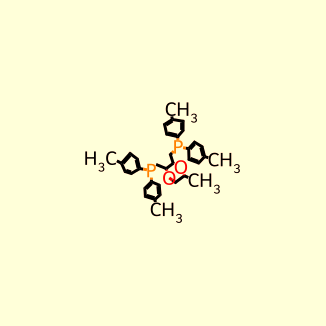 Cc1ccc(P(CC2OCC(C)OC2CP(c2ccc(C)cc2)c2ccc(C)cc2)c2ccc(C)cc2)cc1